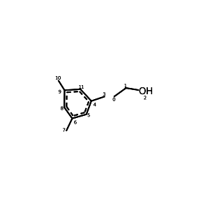 CCO.Cc1cc(C)cc(C)c1